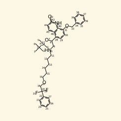 CC(C)(C)[Si](C)(C)OC(CNCCCCCCOCC(F)(F)c1ccccc1)c1ccc(OCc2ccccc2)c2[nH]c(=O)ccc12